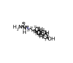 C[C@]12CC[C@H](O)C[C@H]1CC[C@@H]1[C@@H]2CC[C@]2(C)[C@@H](CC/C=N/NC(N)=S)CC[C@]12O